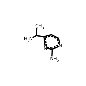 CC(N)c1ccnc(N)n1